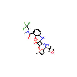 Cc1ccc(C(Nc2c(Nc3cccc(C(=O)N(C)CC(F)(F)F)c3O)c(=O)c2=O)C2(C)COC2)o1